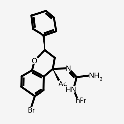 CCCN/C(N)=N\[C@@]1(C(C)=O)C[C@H](c2ccccc2)Oc2ccc(Br)cc21